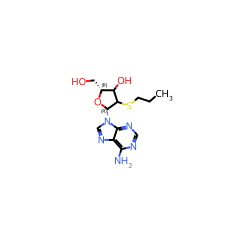 CCCSC1C(O)[C@@H](CO)O[C@H]1n1cnc2c(N)ncnc21